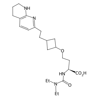 CCN(CC)C(=O)N[C@@H](CCOC1CC(CCc2ccc3c(n2)NCCC3)C1)C(=O)O